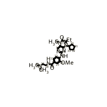 CCN1C(=O)N(C)c2cnc(Nc3ccc(C(=O)NCCN(C)C)cc3OC)nc2N1C1CCCC1